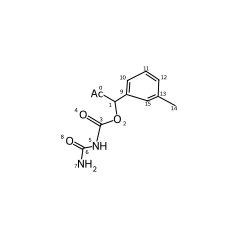 CC(=O)C(OC(=O)NC(N)=O)c1cccc(C)c1